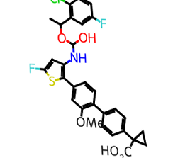 COc1cc(-c2sc(F)cc2NC(O)OC(C)c2cc(F)ccc2Cl)ccc1-c1ccc(C2(C(=O)O)CC2)cc1